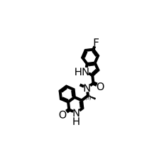 C[C@@H](c1c[nH]c(=O)c2ccccc12)N(C)C(=O)c1cc2cc(F)ccc2[nH]1